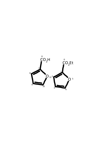 CCOC(=O)c1ccco1.O=C(O)c1ccco1